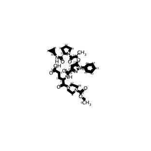 CCOC(=O)N1CCN(C(=O)C(CCC(=O)O)NC(=O)c2cc(O[C@@H](C)C(=O)N3CCC[C@H]3C(=O)NC3CC3)n(-c3ccccc3)n2)CC1